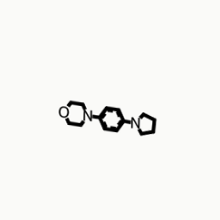 c1cc(N2CCOCC2)ccc1N1CCCC1